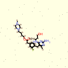 CCC[C@@H](CCO)Nc1nc(N)nc(C)c1Cc1ccc(CC(=O)OCCCCN2CCN(C)CC2)cc1F